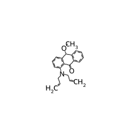 C=CCN(CC=C)c1cccc2c1C(=O)c1ccccc1C2OC